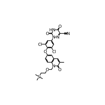 Cc1cc2cc(Oc3c(Cl)cc(-n4nc(C#N)c(=O)[nH]c4=O)cc3Cl)ccc2n(COCC[Si](C)(C)C)c1=O